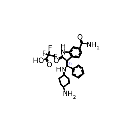 NC(=O)c1ccc2c(c1)NC(=O)/C2=C(\NC1CCC(N)CC1)c1ccccc1.O=C(O)C(F)(F)F